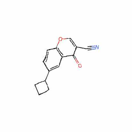 N#Cc1coc2ccc(C3CCC3)cc2c1=O